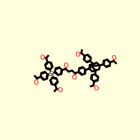 CC(=O)c1ccc(C23CC4(c5ccc(C(C)=O)cc5)CC(c5ccc(C(C)=O)cc5)(C2)CC(c2ccc(C(=O)CCC(=O)c5ccc([Si](c6ccc(C(C)=O)cc6)(c6ccc(C(C)=O)cc6)c6ccc(C(C)=O)cc6)cc5)cc2)(C3)C4)cc1